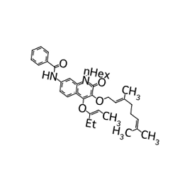 CC=C(CC)Oc1c(OC/C=C(\C)CCC=C(C)C)c(=O)n(CCCCCC)c2cc(NC(=O)c3ccccc3)ccc12